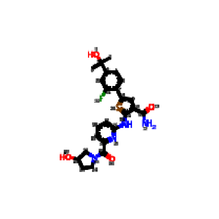 CC(C)(O)c1ccc(-c2cc(C(N)=O)c(Nc3cccc(C(=O)N4CCC(O)C4)n3)s2)c(F)c1